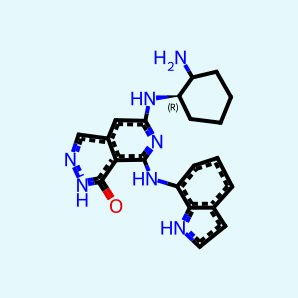 NC1CCCC[C@H]1Nc1cc2cn[nH]c(=O)c2c(Nc2cccc3cc[nH]c23)n1